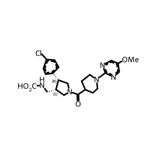 COc1cnc(N2CCC(C(=O)N3C[C@H](CNC(=O)O)[C@H](c4ccc(Cl)cc4)C3)CC2)nc1